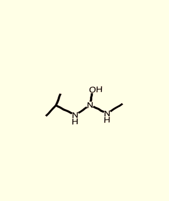 CNN(O)NC(C)C